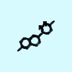 Cc1ccc2cc(-c3ccc(C)nn3)ccc2c1